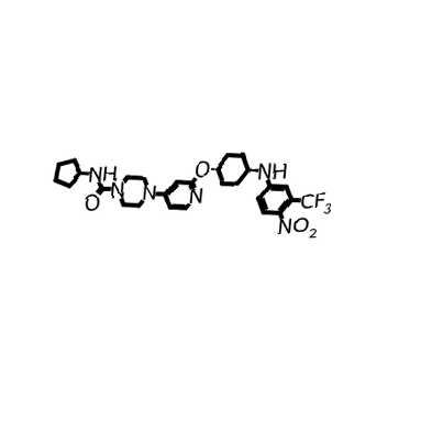 O=C(NC1CCCC1)N1CCN(c2ccnc(O[C@H]3CC[C@H](Nc4ccc([N+](=O)[O-])c(C(F)(F)F)c4)CC3)c2)CC1